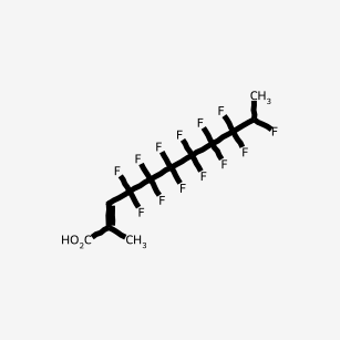 CC(=CC(F)(F)C(F)(F)C(F)(F)C(F)(F)C(F)(F)C(F)(F)C(C)F)C(=O)O